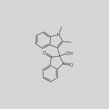 Cc1c(C2(O)C(=O)c3ccccc3C2=O)c2ccccc2n1C